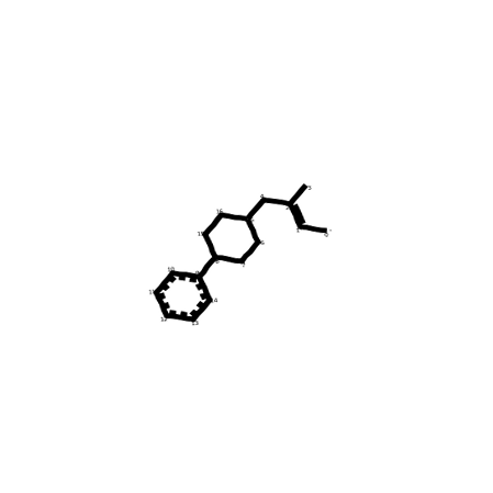 [CH2]C=C(C)CC1CCC(c2ccccc2)CC1